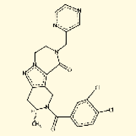 C[C@@H]1Cc2nn3c(c2CN1C(=O)c1ccc(Cl)c(Cl)c1)C(=O)N(Cc1cnccn1)CC3